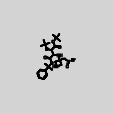 CC(C)(C)OC(=O)C(OC(C)(C)C)C(NC1(C[N+](=O)[O-])CNC1)C(=O)OC(C)(C)c1ccccc1